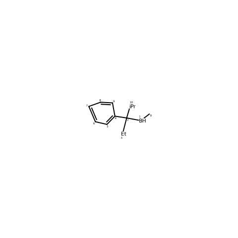 CBC(CC)(c1ccccc1)C(C)C